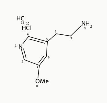 COc1cncc(CCN)c1.Cl.Cl